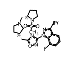 CC(C)c1nn(-c2noc(C[C@@H]3CCN(C[C@@H]4CCCN4S(C)(=O)=O)C3)n2)c2c(F)cccc12